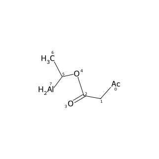 CC(=O)CC(=O)O[CH](C)[AlH2]